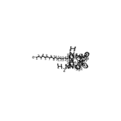 CCCCCCCCCCCCCCCCC1CNCCN1c1cc(N)nc(-c2cccc3c2CN(C2CCC(=O)NC2=O)C3=O)c1